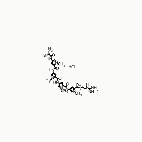 C=C(Br)C(=O)Nc1cc(C(=O)Nc2cc(C(=O)Nc3cc(C(=O)Nc4cc(C(=O)NCCNC(=N)N)n(C)c4)n(C)c3)n(C)c2)n(C)n1.Cl